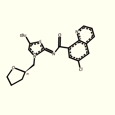 CC(C)(C)c1cn(C[C@H]2CCCO2)c(=NC(=O)c2cc(Cl)cc3cccnc23)s1